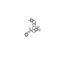 CCC1CN2CCc3cc(C)c(C)cc3C2CC1CC1c2cc(OC)c(OC)cc2CCN1C(=S)SCc1ccccc1